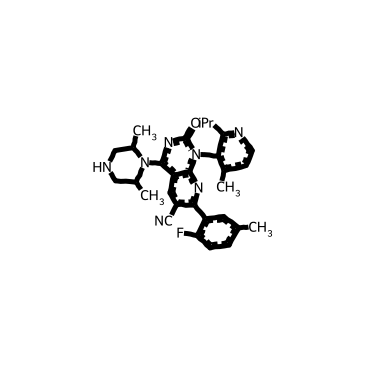 Cc1ccc(F)c(-c2nc3c(cc2C#N)c(N2C(C)CNCC2C)nc(=O)n3-c2c(C)ccnc2C(C)C)c1